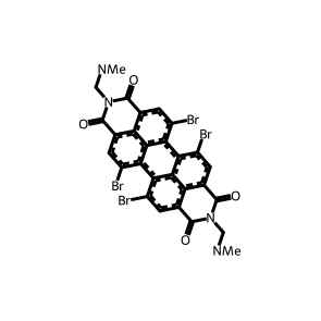 CNCN1C(=O)c2cc(Br)c3c4c(Br)cc5c6c(cc(Br)c(c7c(Br)cc(c2c37)C1=O)c64)C(=O)N(CNC)C5=O